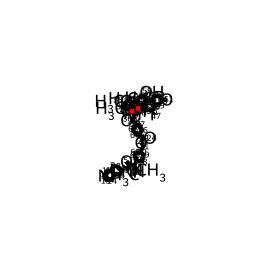 CN(C)C(C(=O)Nc1ccc2cnccc2c1)c1ccc(COC(=O)c2ccc(C(=O)OCC(=O)[C@@]34OC(C)(C)O[C@@H]3C[C@H]3[C@@H]5C[C@H](F)C6=CC(=O)C=C[C@]6(C)[C@@]5(F)[C@@H](O)C[C@@]34C)cc2)cc1